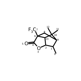 CC1C2OC(=O)C3(C(F)(F)F)CC1C(C)(C)C23